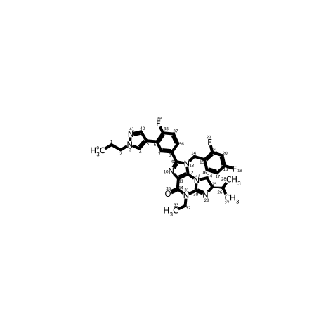 CCCn1cc(-c2cc(-c3nc4c(n3Cc3ccc(F)cc3F)N3C[C@@H](C(C)C)N=C3N(CC)C4=O)ccc2F)cn1